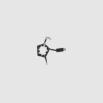 Cn1ccc(I)c1C#N